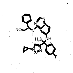 BC(Nc1ccc2ncnc(NC(CC#N)c3ccccc3)c2c1)(c1ccc(F)cc1)c1cn(C2CC2)nn1